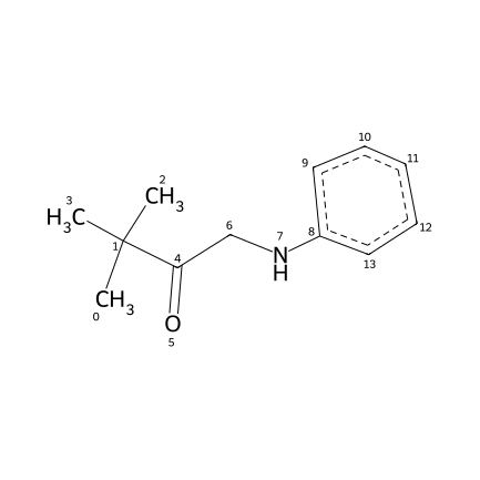 CC(C)(C)C(=O)CNc1ccccc1